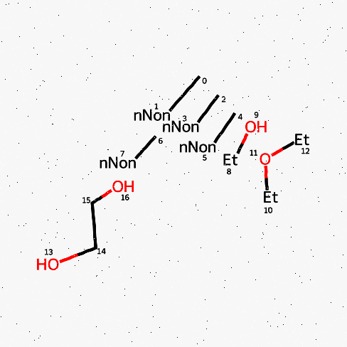 CCCCCCCCCC.CCCCCCCCCC.CCCCCCCCCC.CCCCCCCCCC.CCO.CCOCC.OCCO